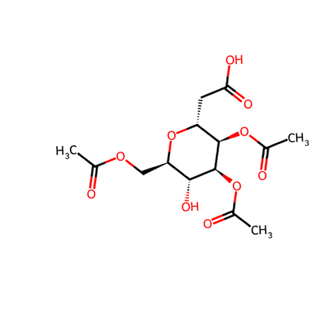 CC(=O)OC[C@H]1O[C@H](CC(=O)O)[C@@H](OC(C)=O)[C@@H](OC(C)=O)[C@@H]1O